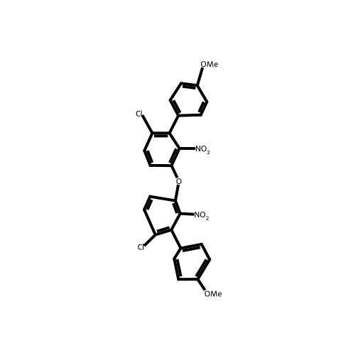 COc1ccc(-c2c(Cl)ccc(Oc3ccc(Cl)c(-c4ccc(OC)cc4)c3[N+](=O)[O-])c2[N+](=O)[O-])cc1